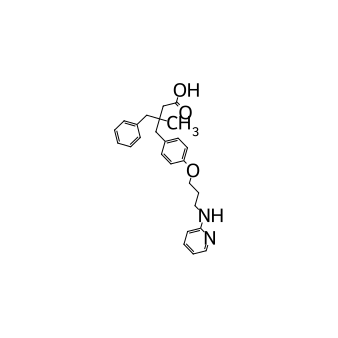 CC(CC(=O)O)(Cc1ccccc1)Cc1ccc(OCCCNc2ccccn2)cc1